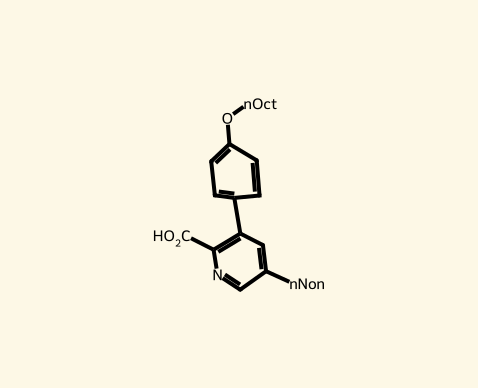 CCCCCCCCCc1cnc(C(=O)O)c(-c2ccc(OCCCCCCCC)cc2)c1